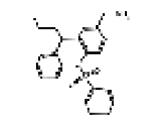 NCc1ccc(OS(=O)(=O)c2ccccc2)c(C(CCI)c2ccccc2)c1